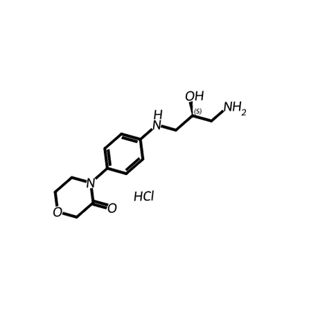 Cl.NC[C@H](O)CNc1ccc(N2CCOCC2=O)cc1